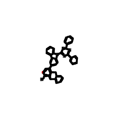 Brc1ccc(-c2ccc3c(c2)c2ccccc2n3-c2nc(-c3ccccc3)nc(-c3ccccc3)n2)c2c1C1c3ccccc3C2c2ccccc21